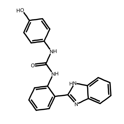 O=C(Nc1ccc(O)cc1)Nc1ccccc1-c1nc2ccccc2[nH]1